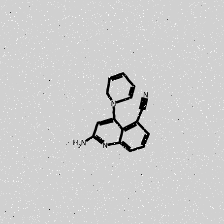 N#Cc1cccc2nc(N)cc(N3C=CC=CC3)c12